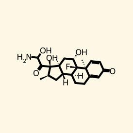 C[C@@H]1C[C@H]2[C@@H]3CCC4=CC(=O)C=C[C@]4(C)[C@@]3(F)[C@@H](O)C[C@]2(C)[C@@]1(O)C(=O)C(N)O